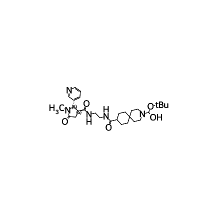 CN1C(=O)C[C@H](C(=O)NCCNC(=O)C2CCC3(CC2)CCN(C(O)OC(C)(C)C)CC3)[C@H]1c1cccnc1